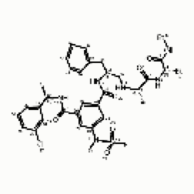 CCNC(=O)[C@H](CC)NC(=O)[C@H](C)NC[C@H](Cc1ccccc1)NC(=O)c1cc(C(=O)N[C@H](C)c2cccc(Cl)c2)cc(N(C)S(C)(=O)=O)c1